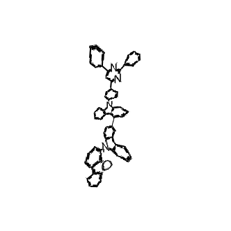 c1ccc(-c2cc(-c3ccc(-n4c5ccccc5c5c(-c6ccc7c(c6)c6ccccc6n7-c6cccc7c6oc6ccccc67)cccc54)cc3)nc(-c3ccccc3)n2)cc1